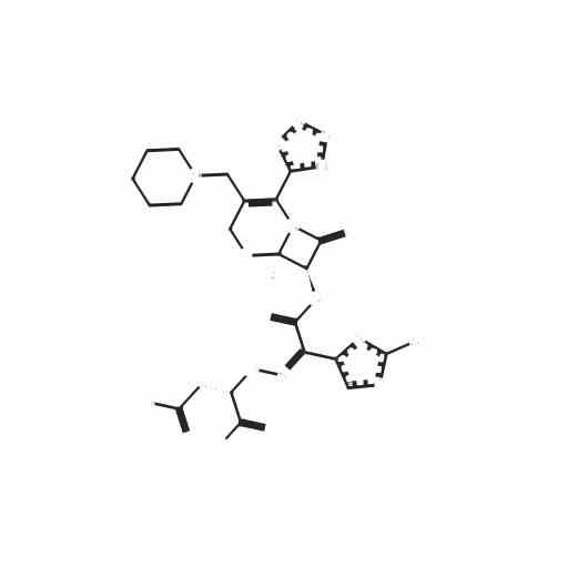 Nc1nc(/C(=N/O[C@@H](CC(=O)O)C(=O)O)C(=O)N[C@@H]2C(=O)N3C(c4nnn[nH]4)=C(CN4CCCCC4)CS[C@H]23)cs1